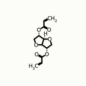 C=CC(=O)O[C@H]1CO[C@H]2C1OC[C@@H]2OC(=O)C=C